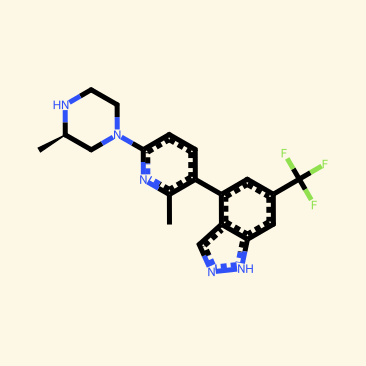 Cc1nc(N2CCN[C@H](C)C2)ccc1-c1cc(C(F)(F)F)cc2[nH]ncc12